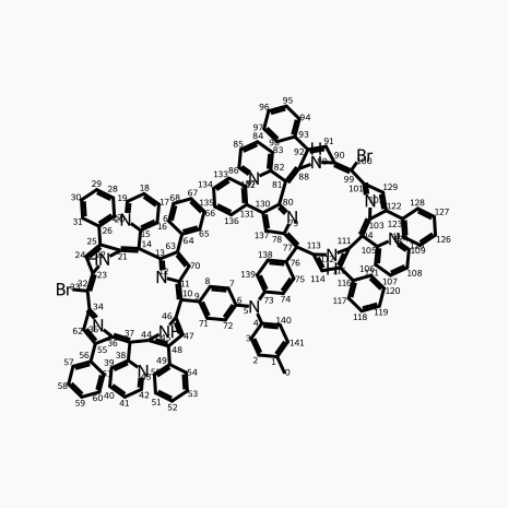 Cc1ccc(N(c2ccc(-c3c4nc(c(-c5ccccn5)c5[nH]c(cc5-c5ccccc5)c(Br)c5nc(c(-c6ccccn6)c6[nH]c3cc6-c3ccccc3)C(c3ccccc3)=C5)C(c3ccccc3)=C4)cc2)c2ccc(-c3c4nc(c(-c5ccccn5)c5[nH]c(cc5-c5ccccc5)c(Br)c5nc(c(-c6ccccn6)c6[nH]c3cc6-c3ccccc3)C(c3ccccc3)=C5)C(c3ccccc3)=C4)cc2)cc1